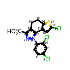 O=C(O)c1nn(-c2ccc(Cl)cc2Cl)c2c1CCc1sc(Cl)cc1-2